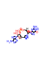 Nc1nc2c(ncn2[C@@H]2O[C@@H]3COP(=O)(O)OC4C(O)[C@H](n5cnc6c(N)ncnc65)O[C@@H]4Cc4cn(nn4)C2C3O)c(=O)[nH]1